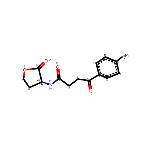 CCCc1ccc(C(=O)CCC(=O)N[C@H]2CCOC2=O)cc1